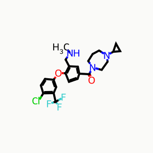 CNCc1cc(C(=O)N2CCCN(C3CC3)CC2)ccc1Oc1ccc(Cl)c(C(F)(F)F)c1